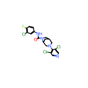 O=C(Nc1ccc(F)c(Cl)c1)N1CC2CC1CN(c1c(Cl)cncc1Cl)C2